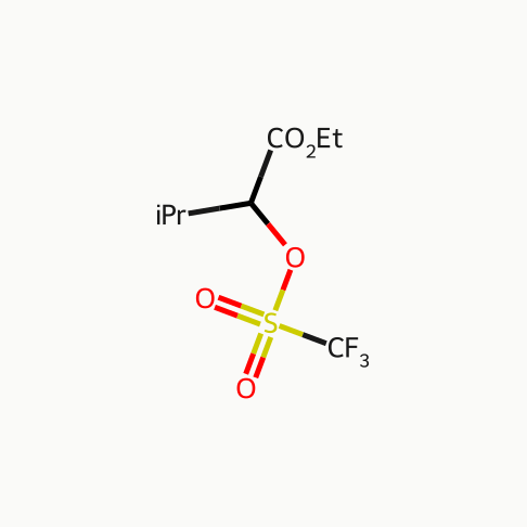 CCOC(=O)C(OS(=O)(=O)C(F)(F)F)C(C)C